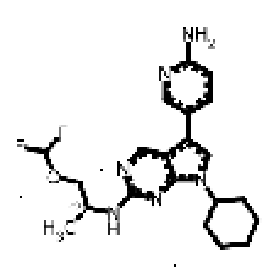 C[C@@H](COC(F)F)Nc1ncc2c(-c3ccc(N)nc3)cn(C3CCCCC3)c2n1